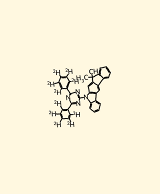 [2H]c1c([2H])c([2H])c(-c2nc(-c3c([2H])c([2H])c([2H])c([2H])c3[2H])nc(-n3c4ccccc4c4cc5c(cc43)C(C)(C)c3ccccc3-5)n2)c([2H])c1[2H]